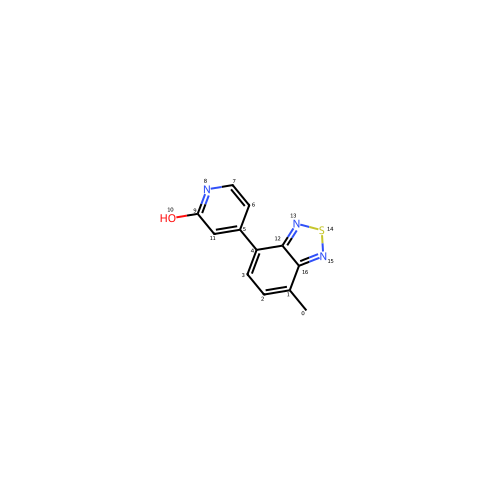 Cc1ccc(-c2ccnc(O)c2)c2nsnc12